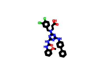 COc1ccccc1NC(=O)Nc1nc(Nc2ccc(-c3ccccc3)cc2)nc(N(CCC(=O)O)Cc2ccc(Cl)c(Cl)c2)n1